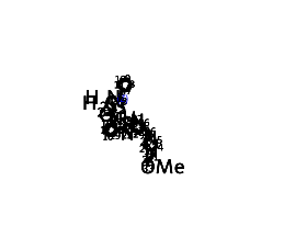 C=C(S/C=C(\N)C1C=CC=CC1)C(=O)Nc1ccccc1-c1nc2cc(CN3CCN(CCOC)CC3)cnc2s1